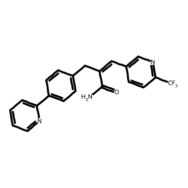 NC(=O)/C(=C\c1ccc(C(F)(F)F)nc1)Cc1ccc(-c2ccccn2)cc1